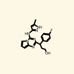 Cc1cc(Nc2nc(C(CCO)c3ccc(F)cc3)nc3cccn23)n[nH]1